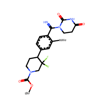 CNc1cc(C2CCN(C(=O)OC(C)(C)C)CC2(F)F)ccc1C(=N)N1CCC(=O)NC1=O